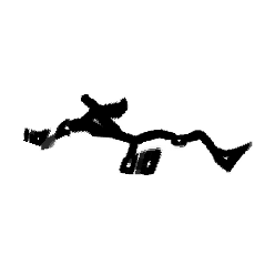 CC1(C)C(C(=O)O)C1/C(C=O)=C/OCC1CC1